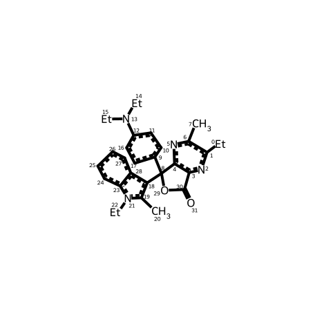 CCc1nc2c(nc1C)C(c1ccc(N(CC)CC)cc1)(c1c(C)n(CC)c3ccccc13)OC2=O